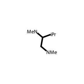 CNCC(NC)C(C)C